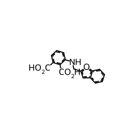 O=C(O)c1cccc(NCc2cc3ccccc3o2)c1C(=O)O